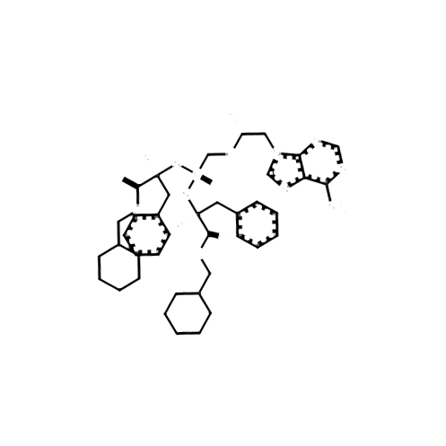 C[C@H](Cn1cnc2c(N)ncnc21)OCP(=O)(N[C@@](C)(Cc1ccccc1)C(=O)OCC1CCCCC1)N[C@@](C)(Cc1ccccc1)C(=O)OCC1CCCCC1